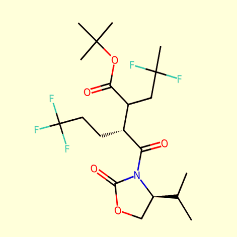 CC(C)[C@H]1COC(=O)N1C(=O)[C@H](CCC(F)(F)F)C(CC(C)(F)F)C(=O)OC(C)(C)C